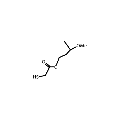 COC(C)CCOC(=O)CS